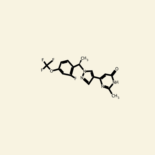 Cc1nc(-c2cnn([C@H](C)c3ccc(OC(F)(F)F)cc3F)c2)cc(=O)[nH]1